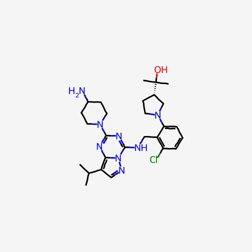 CC(C)c1cnn2c(NCc3c(Cl)cccc3N3CC[C@H](C(C)(C)O)C3)nc(N3CCC(N)CC3)nc12